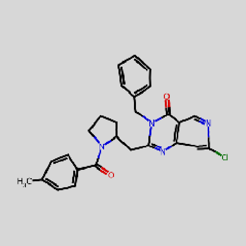 Cc1ccc(C(=O)N2CCCC2Cc2nc3cc(Cl)ncc3c(=O)n2Cc2ccccc2)cc1